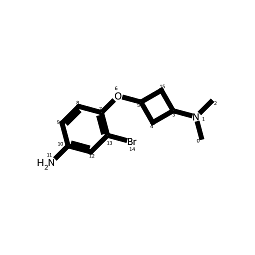 CN(C)C1CC(Oc2ccc(N)cc2Br)C1